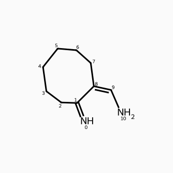 N=C1CCCCCC/C1=C/N